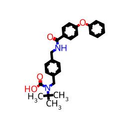 CC(C)(C)N(Cc1ccc(CNC(=O)c2ccc(Oc3ccccc3)cc2)cc1)C(=O)O